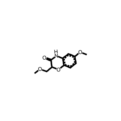 COCC1Oc2ccc(OC)cc2NC1=O